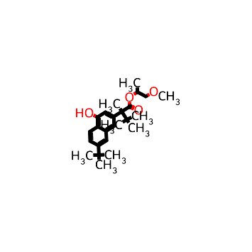 COCC(C)OC(=O)C(C)(c1cc(O)c2ccc(C(C)(C)C)cc2c1)C(C)(C)C